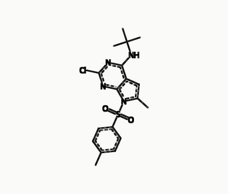 Cc1ccc(S(=O)(=O)n2c(C)cc3c(NC(C)(C)C)nc(Cl)nc32)cc1